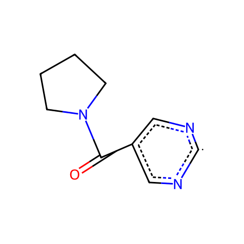 O=C(c1cn[c]nc1)N1CCCC1